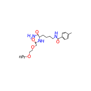 CCCOCCOCC(=O)NC(CCCCNC(=O)c1ccc(C)cc1)C(N)=O